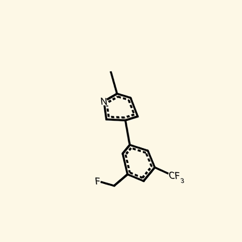 Cc1ccc(-c2cc(CF)cc(C(F)(F)F)c2)cn1